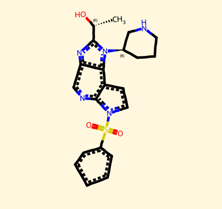 C[C@@H](O)c1nc2cnc3c(ccn3S(=O)(=O)c3ccccc3)c2n1[C@@H]1CCCNC1